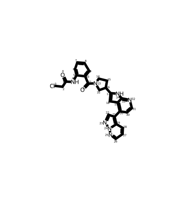 O=C(CCl)Nc1ccccc1C(=O)N1CCC(c2cc3c(-c4cnn5ncccc45)ccnc3[nH]2)C1